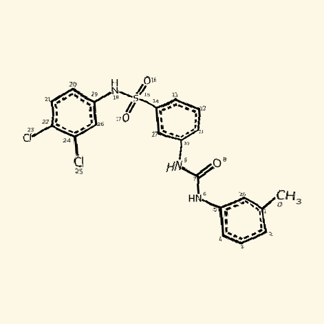 Cc1cccc(NC(=O)Nc2cccc(S(=O)(=O)Nc3ccc(Cl)c(Cl)c3)c2)c1